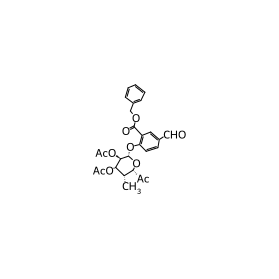 CC(=O)O[C@H]1[C@H](Oc2ccc(C=O)cc2C(=O)OCc2ccccc2)O[C@H](C(C)=O)[C@H](C)[C@@H]1OC(C)=O